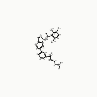 CC(On1ncc2ncc(-c3cccc(C(=O)NCCN(C)C)c3)nc21)c1c(Cl)ccc(F)c1Cl